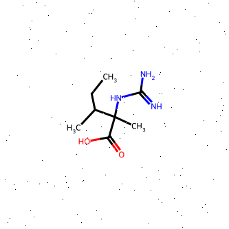 CCC(C)C(C)(NC(=N)N)C(=O)O